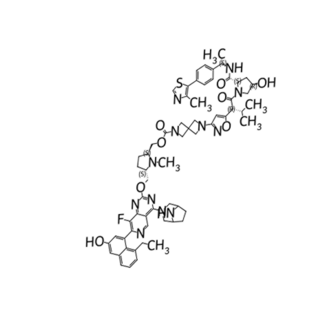 CCc1cccc2cc(O)cc(-c3ncc4c(N5CC6CCC(C5)N6)nc(OC[C@@H]5CC[C@@H](COC(=O)N6CC7(C6)CN(c6cc([C@H](C(=O)N8C[C@H](O)C[C@H]8C(=O)N[C@@H](C)c8ccc(-c9scnc9C)cc8)C(C)C)on6)C7)N5C)nc4c3F)c12